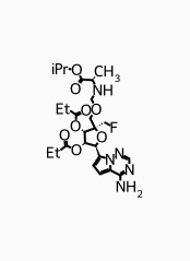 CCC(=O)O[C@H]1[C@H](c2ccc3c(N)ncnn23)O[C@](CF)(COCN[C@@H](C)C(=O)OC(C)C)[C@H]1OC(=O)CC